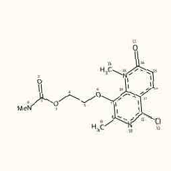 CNC(=O)OCCOc1c(C)nc(Cl)c2ccc(=O)n(C)c12